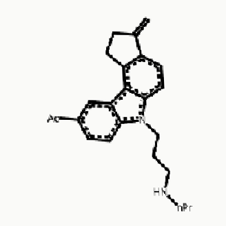 C=C1CCc2c1ccc1c2c2cc(C(C)=O)ccc2n1CCCNCCC